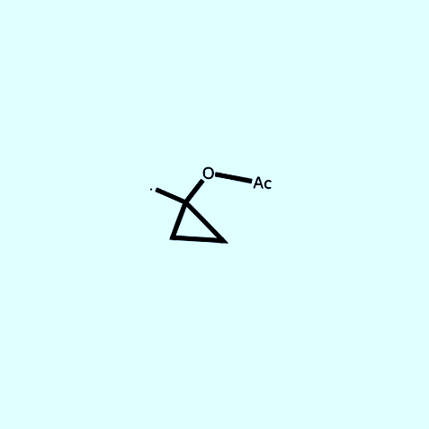 [CH2]C1(OC(C)=O)CC1